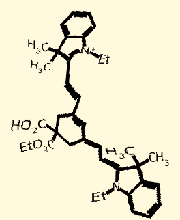 CCOC(=O)C1(C(=O)O)CC(/C=C/C2=[N+](CC)c3ccccc3C2(C)C)=CC(=C/C=C2/N(CC)c3ccccc3C2(C)C)/C1